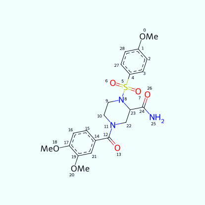 COc1ccc(S(=O)(=O)N2CCN(C(=O)c3ccc(OC)c(OC)c3)CC2C(N)=O)cc1